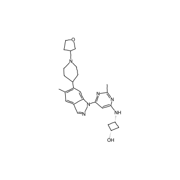 Cc1nc(N[C@H]2C[C@@H](O)C2)cc(-n2ncc3cc(C)c(C4CCN(C5CCOC5)CC4)cc32)n1